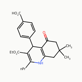 CCCC1=C(C(=O)OCC)C(c2ccc(C(=O)O)cc2)C2=C(CC(C)(C)CC2=O)N1